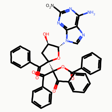 Nc1nc([N+](=O)[O-])nc2c1ncn2[C@@H]1O[C@](C(=O)c2ccccc2)(C(OC(=O)c2ccccc2)(C(=O)c2ccccc2)C(=O)c2ccccc2)C[C@H]1O